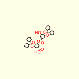 O=C(O)c1cc(OC(=O)c2cc(O)c3c(c2)OC(c2ccccc2)(c2ccccc2)O3)c2c(c1)OC(c1ccccc1)(c1ccccc1)O2